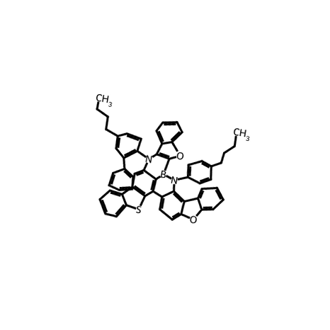 CCCCc1ccc(N2B3c4oc5ccccc5c4N(c4ccc(CCCC)cc4-c4ccccc4)c4cc5c(sc6ccccc65)c(c43)-c3ccc4oc5ccccc5c4c32)cc1